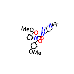 COC(=O)c1ccccc1N(CC(=O)NCC1CCN(C(C)C)CC1)C(=O)c1ccc(OC)cc1